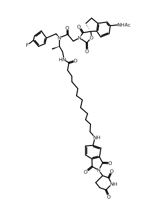 CC(=O)Nc1ccc2c(c1)CC[C@@]21OC(=O)N(CC(=O)N(Cc2ccc(F)cc2)[C@H](C)CNC(=O)CCCCCCCCCCCNc2ccc3c(c2)C(=O)N(C2CCC(=O)NC2=O)C3=O)C1=O